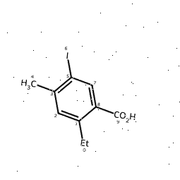 CCc1cc(C)c(I)cc1C(=O)O